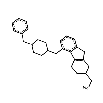 CCC1CCC2=C(Cc3cccc(CC4CCN(Cc5ccccc5)CC4)c32)C1